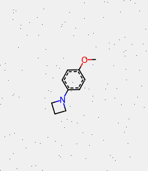 COc1ccc(N2CCC2)cc1